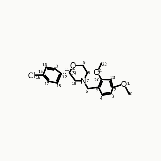 COc1ccc(CN2CCO[C@@H](c3ccc(Cl)cc3)C2)c(OC)c1